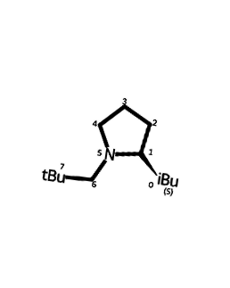 CC[C@H](C)C1CCCN1CC(C)(C)C